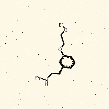 CCOCCOc1cccc(CCNC(C)C)c1